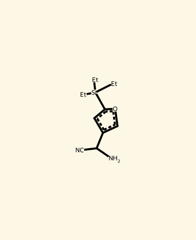 CC[Si](CC)(CC)c1cc(C(N)C#N)co1